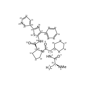 CN[C@@H](C)C(=O)N[C@H](C(=O)N1CCC[C@H]1C(=O)Nc1sc(-c2cccnc2)nc1-c1ccccc1)C1CCCCC1